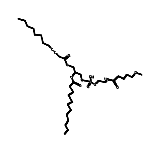 CCCCCCCCCCCC(=O)OCC(COP(=O)(O)OCCNC(=O)CCCCOC)OC(=O)CCCCCCCCCCC